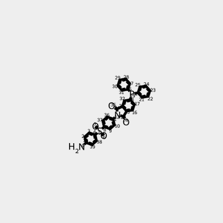 Nc1ccc(S(=O)(=O)c2ccc(N3C(=O)c4ccc(P(c5ccccc5)c5ccccc5)cc4C3=O)cc2)cc1